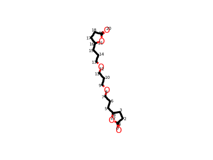 O=C1CCC(CCCOCCCOCCCC2CCC(=O)O2)O1